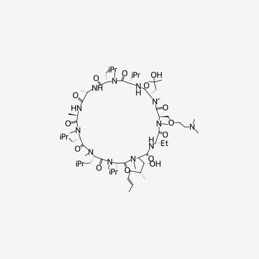 C/C=C/C[C@@H](C)[C@@H](O)[C@H]1C(=O)N[C@@H](CC)C(=O)N(C)[C@H](COCCN(C)C)C(=O)N(C)[C@@H](CC(C)(C)O)C(=O)N[C@@H](C(C)C)C(=O)N(C)[C@@H](CC(C)C)C(=O)N[C@@H](C)C(=O)N[C@H](C)C(=O)N(C)[C@@H](CC(C)C)C(=O)N(C)[C@@H](CC(C)C)C(=O)N(C)[C@@H](C(C)C)C(=O)N1C